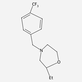 CCC1CN(Cc2ccc(C(F)(F)F)cc2)CCO1